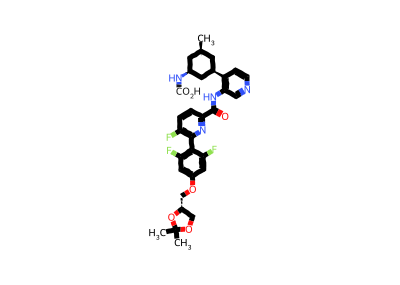 C[C@@H]1C[C@H](NC(=O)O)C[C@H](c2ccncc2NC(=O)c2ccc(F)c(-c3c(F)cc(OC[C@@H]4COC(C)(C)O4)cc3F)n2)C1